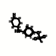 CS(=O)(=O)Oc1ccc(NC2CCNCC2)nc1